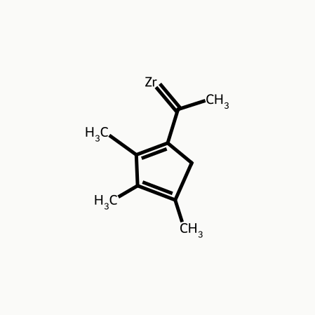 C[C](=[Zr])C1=C(C)C(C)=C(C)C1